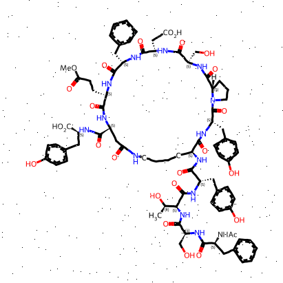 COC(=O)CC[C@@H]1NC(=O)[C@H](Cc2ccccc2)NC(=O)[C@H](CC(=O)O)NC(=O)[C@H](CO)NC(=O)[C@@H]2CCCN2C(=O)[C@H](Cc2ccc(O)cc2)NC(=O)[C@@H](NC(=O)[C@H](Cc2ccc(O)cc2)NC(=O)[C@@H](NC(=O)[C@H](CO)NC(=O)[C@H](Cc2ccccc2)NC(C)=O)[C@@H](C)O)CCCCNC(=O)C[C@@H](C(=O)N[C@@H](Cc2ccc(O)cc2)C(=O)O)NC1=O